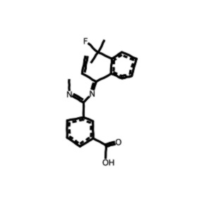 C=C/C(=N\C(=N/C)c1cccc(C(=O)O)c1)c1ccccc1C(C)(C)F